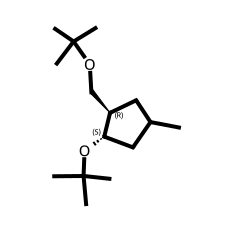 CC1C[C@H](COC(C)(C)C)[C@@H](OC(C)(C)C)C1